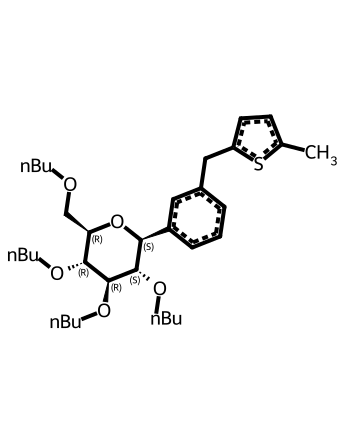 CCCCOC[C@H]1O[C@@H](c2cccc(Cc3ccc(C)s3)c2)[C@H](OCCCC)[C@@H](OCCCC)[C@@H]1OCCCC